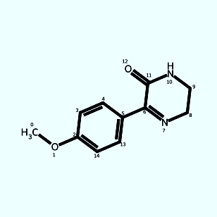 COc1ccc(C2=NCCNC2=O)cc1